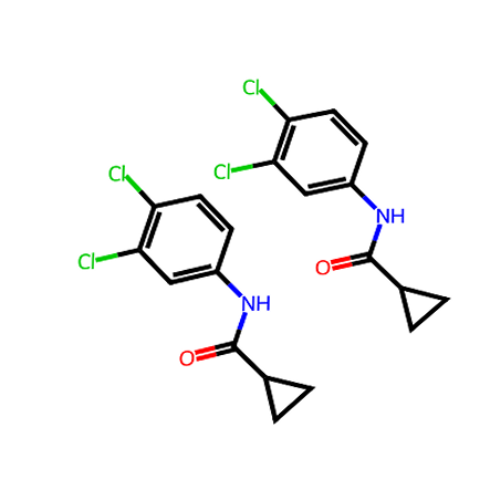 O=C(Nc1ccc(Cl)c(Cl)c1)C1CC1.O=C(Nc1ccc(Cl)c(Cl)c1)C1CC1